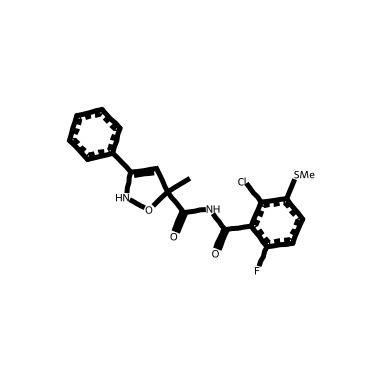 CSc1ccc(F)c(C(=O)NC(=O)C2(C)C=C(c3ccccc3)NO2)c1Cl